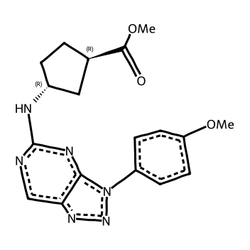 COC(=O)[C@@H]1CC[C@@H](Nc2ncc3nnn(-c4ccc(OC)cc4)c3n2)C1